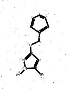 CC(C)c1cc(OCc2ccccc2)nn1C(C)C